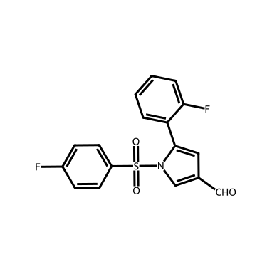 O=Cc1cc(-c2ccccc2F)n(S(=O)(=O)c2ccc(F)cc2)c1